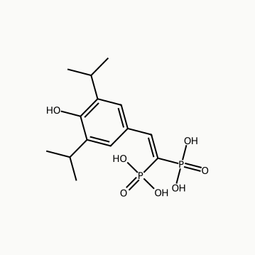 CC(C)c1cc(C=C(P(=O)(O)O)P(=O)(O)O)cc(C(C)C)c1O